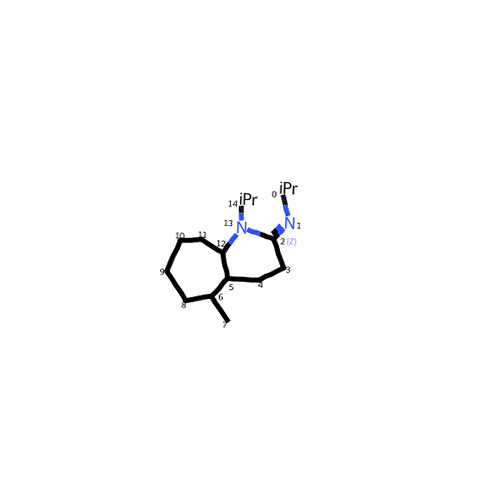 CC(C)/N=C1/CCC2C(C)CCCCC2N1C(C)C